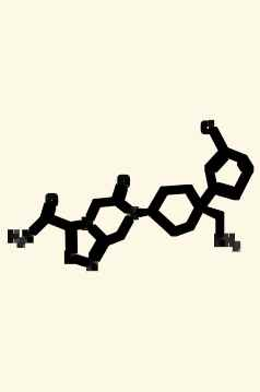 NC[C@]1(c2cccc(Cl)c2)CC[C@H](N2Cc3nnc(C(N)=O)n3CC2=O)CC1